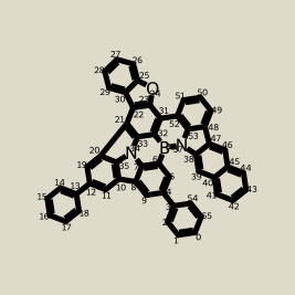 c1ccc(-c2cc3c4c(c2)c2cc(-c5ccccc5)cc5c6c7c(oc8ccccc87)c7c(c6n4c25)B3n2c3cc4ccccc4cc3c3cccc-7c32)cc1